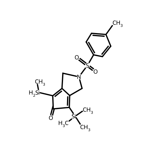 C[SiH2]C1=C2CN(S(=O)(=O)c3ccc(C)cc3)CC2=C([Si](C)(C)C)C1=O